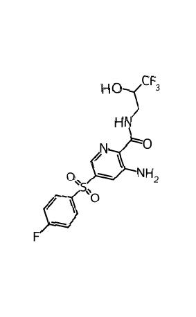 Nc1cc(S(=O)(=O)c2ccc(F)cc2)cnc1C(=O)NCC(O)C(F)(F)F